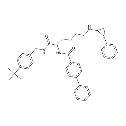 CC(C)(C)c1ccc(CNC(=O)[C@H](CCCCNC2CC2c2ccccc2)NC(=O)c2ccc(-c3ccccc3)cc2)cc1